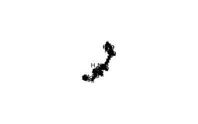 C=C1C[C@H]2C=Nc3cc(OCCCCCOc4cc(N)c(C(=O)N5CC(=C)C[C@H]5C5OCCN5C(=O)OCC(C)SSc5ccccn5)cc4OC)c(OC)cc3C(=O)N2C1